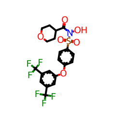 O=C(C1CCOCC1)N(O)S(=O)(=O)c1ccc(Oc2cc(C(F)(F)F)cc(C(F)(F)F)c2)cc1